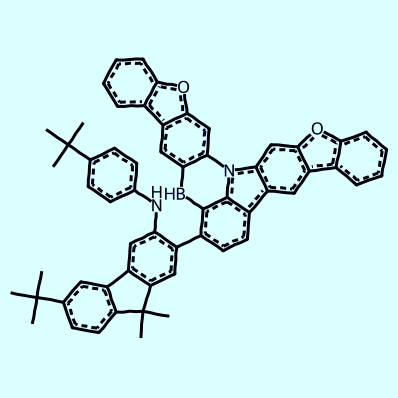 CC(C)(C)c1ccc(Nc2cc3c(cc2-c2ccc4c5cc6c(cc5n5c4c2Bc2cc4c(cc2-5)oc2ccccc24)oc2ccccc26)C(C)(C)c2ccc(C(C)(C)C)cc2-3)cc1